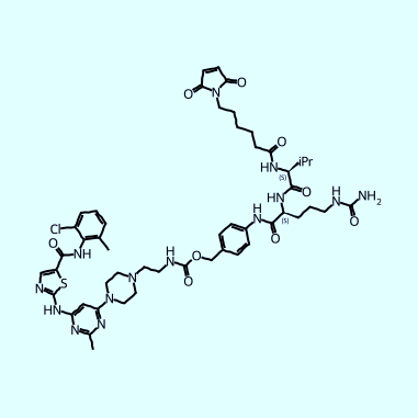 Cc1nc(Nc2ncc(C(=O)Nc3c(C)cccc3Cl)s2)cc(N2CCN(CCNC(=O)OCc3ccc(NC(=O)[C@H](CCCNC(N)=O)NC(=O)[C@@H](NC(=O)CCCCCN4C(=O)C=CC4=O)C(C)C)cc3)CC2)n1